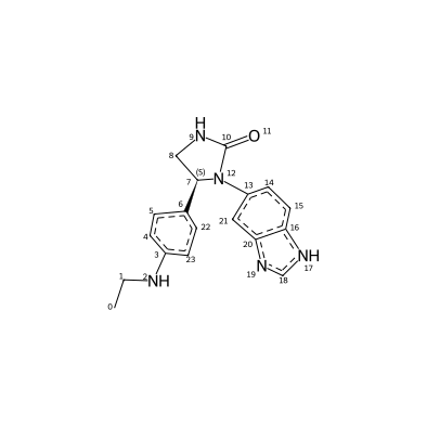 CCNc1ccc([C@H]2CNC(=O)N2c2ccc3[nH]cnc3c2)cc1